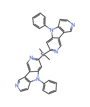 C[Si](C)(c1cc2c(cn1)c1cnccc1n2-c1ccccc1)c1cc2c(cn1)c1cnccc1n2-c1ccccc1